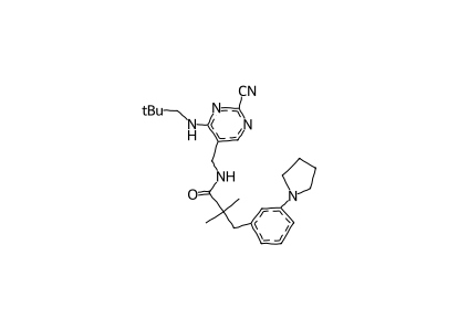 CC(C)(C)CNc1nc(C#N)ncc1CNC(=O)C(C)(C)Cc1cccc(N2CCCC2)c1